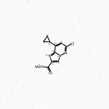 COC(=O)c1cn2nc(Cl)cc(C3CC3)c2n1